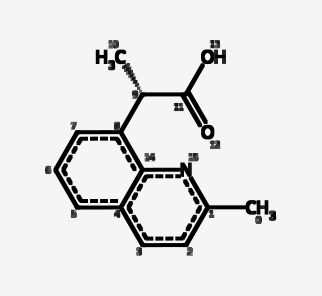 Cc1ccc2cccc([C@H](C)C(=O)O)c2n1